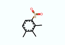 Cc1ccc([SH](=O)=O)c(C)c1C